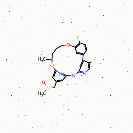 CC1CCCOc2cc(ccc2F)-c2cc(ncc2F)Nc2cc(C[S+](C)[O-])cc(n2)O1